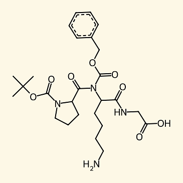 CC(C)(C)OC(=O)N1CCCC1C(=O)N(C(=O)OCc1ccccc1)C(CCCCN)C(=O)NCC(=O)O